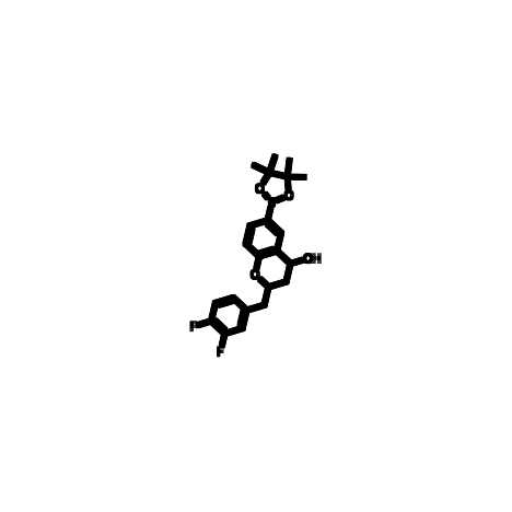 CC1(C)OB(c2ccc3c(c2)C(O)CC(Cc2ccc(F)c(F)c2)O3)OC1(C)C